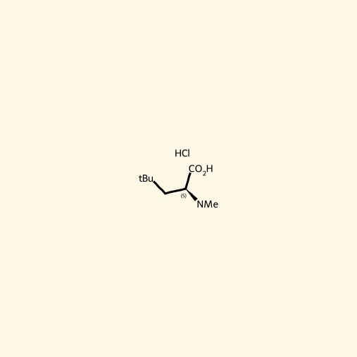 CN[C@@H](CC(C)(C)C)C(=O)O.Cl